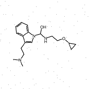 CN(C)CCc1cn(C(O)NCCOC2CC2)c2ccccc12